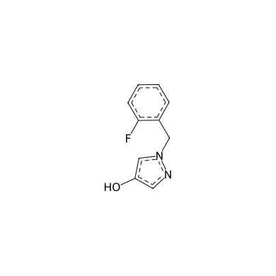 Oc1cnn(Cc2ccccc2F)c1